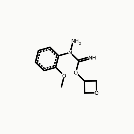 COc1ccccc1N(N)C(=N)OC1COC1